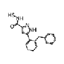 O=C(NS)c1cc(C2=CCCC=C2Cc2ccccc2)[nH]n1